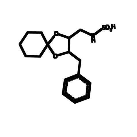 O=S(=O)(O)NCC1OC2(CCCCC2)OC1Cc1ccccc1